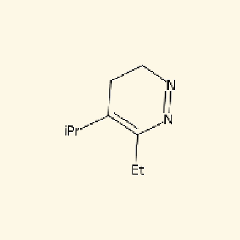 CCC1=C(C(C)C)CCN=N1